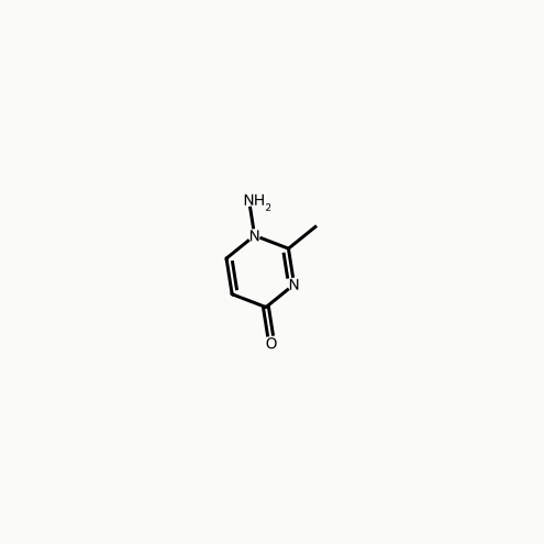 Cc1nc(=O)ccn1N